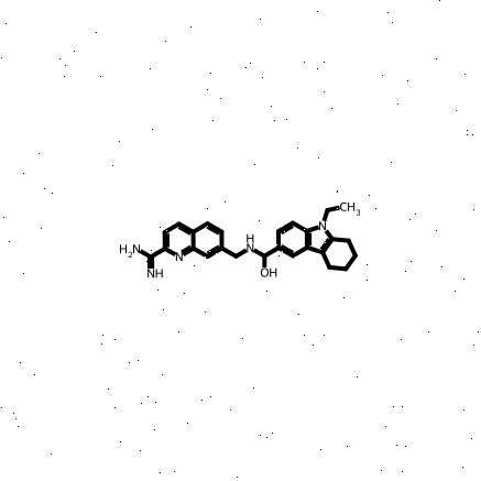 CCn1c2c(c3cc(C(O)NCc4ccc5ccc(C(=N)N)nc5c4)ccc31)CCCC2